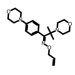 C=CCO/N=C(/c1ccc(N2CCOCC2)cc1)C(C)(C)N1CCOCC1